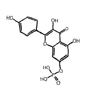 O=c1c(O)c(-c2ccc(O)cc2)oc2cc(OP(=O)(O)O)cc(O)c12